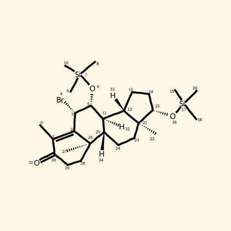 CC1=C2[C@H](Br)[C@H](O[Si](C)(C)C)[C@H]3[C@@H]4CC[C@H](O[Si](C)(C)C)[C@@]4(C)CC[C@@H]3[C@@]2(C)CCC1=O